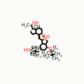 C[C@H](O)[C@H]1CCC2/C(=C/C3C4C[C@@H](CC(C)(C)[Si](C)(C)O)C[C@H](O[Si](C)(C)C(C)(C)C)C4CS3(=O)=O)CCC[C@@]21C